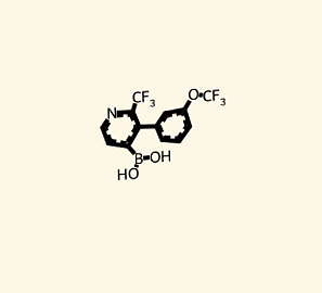 OB(O)c1ccnc(C(F)(F)F)c1-c1cccc(OC(F)(F)F)c1